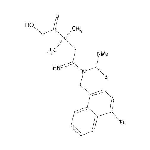 CCc1ccc(CN(C(=N)CC(C)(C)C(=O)CO)C(Br)NC)c2ccccc12